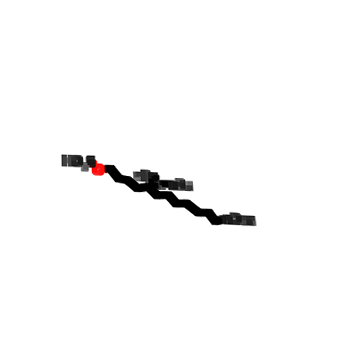 CCCCCCCCCCCCCCCCCCCCCCOS(=O)(=O)O.CCC[CH2][Sn][CH2]CCC